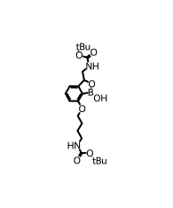 CC(C)(C)OC(=O)NCCCCOc1cccc2c1B(O)OC2CNC(=O)OC(C)(C)C